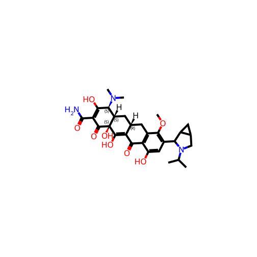 COc1c(C2C3CC3CN2C(C)C)cc(O)c2c1C[C@H]1C[C@H]3[C@H](N(C)C)C(O)=C(C(N)=O)C(=O)[C@@]3(O)C(O)=C1C2=O